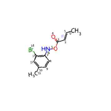 C/C=C/C(=O)ONc1ccc(C)cc1Br